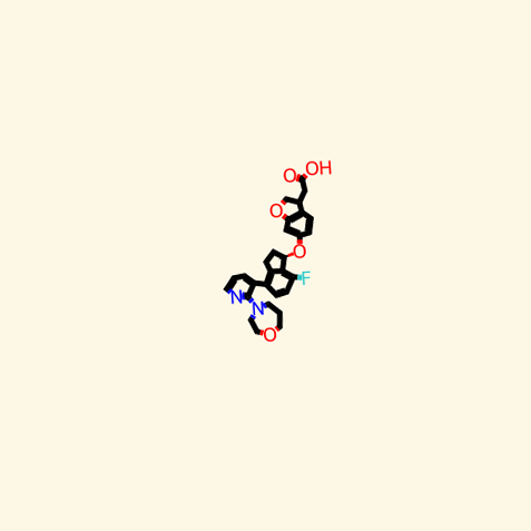 O=C(O)CC1COc2cc(O[C@@H]3CCc4c(-c5cccnc5N5CCCOCC5)ccc(F)c43)ccc21